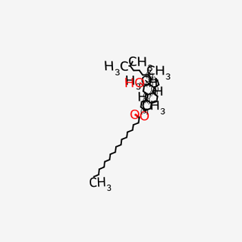 CCCCCCCCCCCCCCCCCC(=O)O[C@H]1CC[C@@]2(C)C(=CC[C@H]3[C@@H]4CC[C@H]([C@H](C)CCCC(C)C)[C@@]4(C)C(O)C[C@@H]32)C1